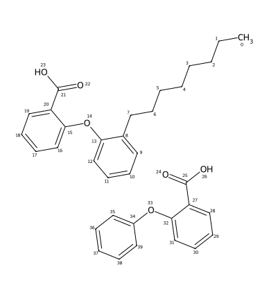 CCCCCCCCc1ccccc1Oc1ccccc1C(=O)O.O=C(O)c1ccccc1Oc1ccccc1